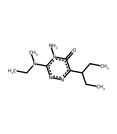 CCC(CC)c1nnc(N(C)CC)n(N)c1=O